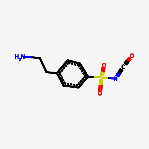 NCCc1ccc(S(=O)(=O)N=C=O)cc1